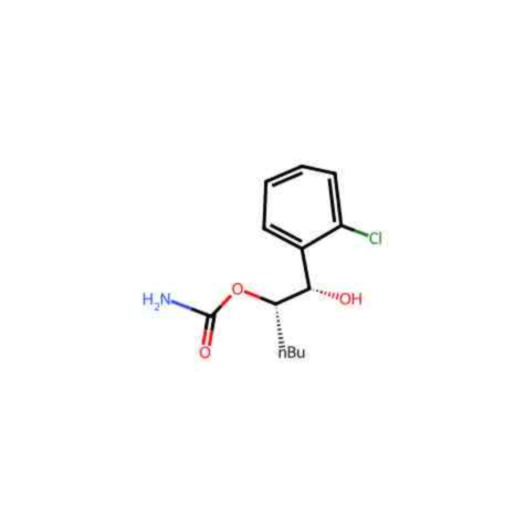 CCCC[C@H](OC(N)=O)[C@@H](O)c1ccccc1Cl